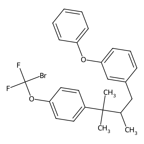 CC(Cc1cccc(Oc2ccccc2)c1)C(C)(C)c1ccc(OC(F)(F)Br)cc1